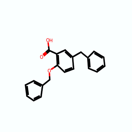 O=C(O)c1cc(Cc2ccccc2)ccc1OCc1ccccc1